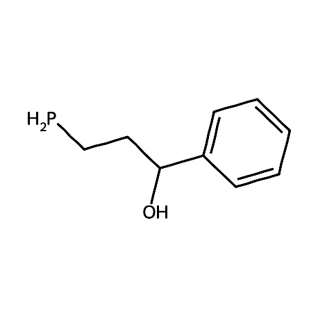 OC(CCP)c1ccccc1